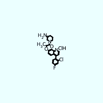 CC(Oc1ccc2c(-c3ccc(F)cc3Cl)ccnc2c1)C(=O)N1CCC[C@H](N)C1.Cl